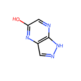 Oc1cnc2[nH]ncc2n1